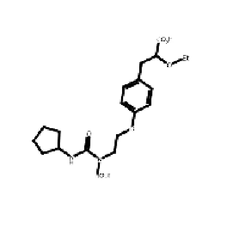 CCCCCCCCN(CCOc1ccc(CC(OCC)C(=O)O)cc1)C(=O)NC1CCCC1